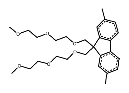 COCCOCCOCC1(COCCOCCOC)c2cc(C)ccc2-c2ccc(C)cc21